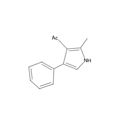 CC(=O)c1c(-c2ccccc2)c[nH]c1C